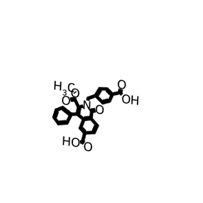 COC(=O)c1c(-c2ccccc2)c2cc(C(=O)O)ccc2c(=O)n1Cc1ccc(C(=O)O)cc1